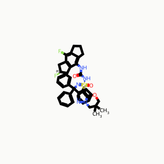 CC1(C)COc2c([S@@](=O)(=NC(c3ccccc3)(c3ccccc3)c3ccccc3)NC(=O)Nc3c4c(c(F)c5c3C[C@@H](F)C5)CCC4)cnn2C1